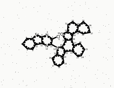 Clc1nc2sc3ccccc3c2nc1-n1c2ccccc2c2c3ccccc3c3c(oc4ccc5ccccc5c43)c21